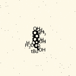 C[C@@H]1CC([C@@H](O)C(C)(C)C)OC2C1C1(C)CCC34CC35CCC(O)C(C)(C)[C@@H]5CCC4[C@]1(C)[C@H]2O